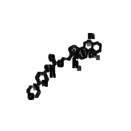 CC[C@H]1CC2C3CCC(CCOC(=O)NSc4ccc(N5CCOCC5)nc4)C3(C)CC[C@]2(N)[C@@]2(C)CCCCC12